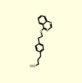 O=CCCCc1ccc(CCOc2ncnc3ccccc23)cc1